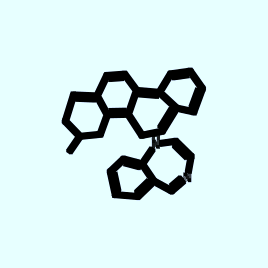 C1=CNc2ccccc2C=N1.CC1CC=c2ccc3c(c2C1)CC=c1ccccc1=3